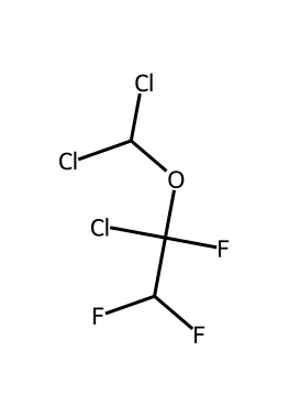 FC(F)C(F)(Cl)OC(Cl)Cl